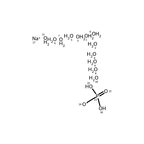 O.O.O.O.O.O.O.O.O.O.O.O.O=P([O-])(O)O.[Na+]